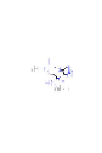 CCCCNC(=O)c1nc2cn[nH]c2nc1NCCCC